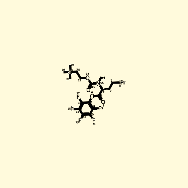 CC(C)CC[C@@H](C(=O)Oc1c(F)c(F)c(F)c(F)c1F)N(C)C(=O)OCC[Si](C)(C)C